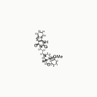 COc1cccc2c1[C@H]1CCN(CCCn3c(=O)[nH]c4c(sc5ccccc54)c3=O)C[C@@H]1CO2